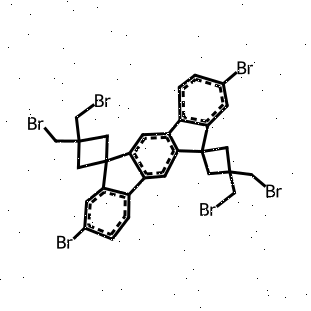 BrCC1(CBr)CC2(C1)c1cc(Br)ccc1-c1cc3c(cc12)-c1ccc(Br)cc1C31CC(CBr)(CBr)C1